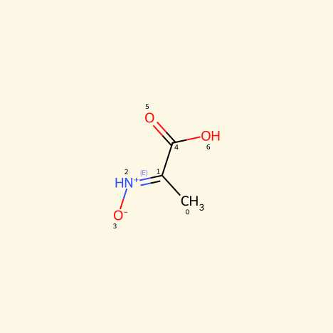 C/C(=[NH+]\[O-])C(=O)O